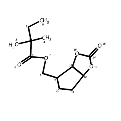 CCC(C)(C)C(=O)OCC1CCC2OC(=O)OC12